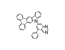 c1ccc(-c2cc(-n3c4ccccc4c4cc5c6ccccc6c6ccccc6c5cc43)cc3ncncc23)cc1